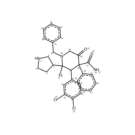 CCC1(C2CCNC2)C(c2ccc(Cl)c(Cl)c2)C(C(N)=O)(c2ccccc2)C(=O)CN1Cc1ccccc1